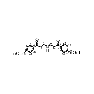 CCCCCCCCc1ccc(C(=S)CCNCCC(=S)c2ccc(CCCCCCCC)cc2)cc1